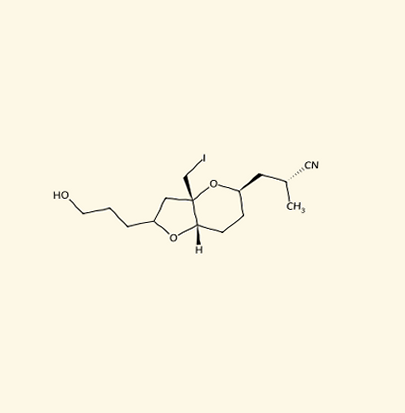 C[C@@H](C#N)C[C@H]1CC[C@@H]2OC(CCCO)C[C@]2(CI)O1